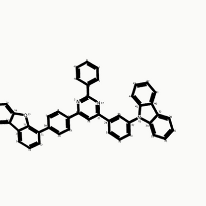 c1ccc(-c2nc(-c3ccc(-c4cccc5c4oc4ccccc45)cc3)cc(-c3cccc(-n4c5ccccc5c5ccccc54)c3)n2)cc1